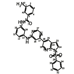 Nc1cccc(C(=O)Nc2cccc(Nc3cc(-c4cnc5c(ccn5S(=O)(=O)c5ccccc5)c4)ncn3)c2)c1